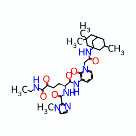 CCNC(=O)C(=O)CC[C@H](NC(=O)c1nccn1C)C(=O)Nc1cccn(CC(=O)NC23CC(C)CC(CC(C)(C)C2)C3)c1=O